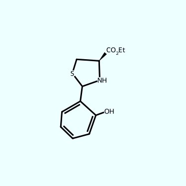 CCOC(=O)[C@@H]1CSC(c2ccccc2O)N1